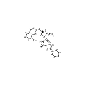 CC1CN(Cc2ccc3cccc(F)c3n2)CC1C1=NC2=CN(C3CCOCC3)CN2C(=O)N1